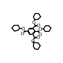 O=C(OC1CCCCC1)c1cc(C(=O)OC2CCCCC2)c(C(=O)OC2CCCCC2)c(C(=O)OC2CCCCC2)c1